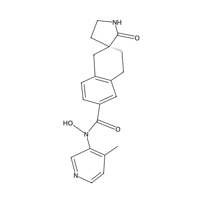 Cc1ccncc1N(O)C(=O)c1ccc2c(c1)CC[C@@]1(CCNC1=O)C2